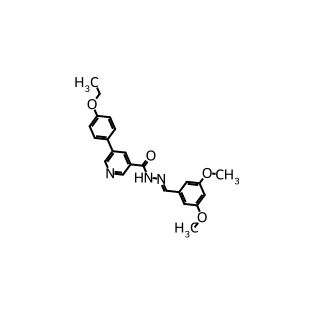 CCOc1ccc(-c2cncc(C(=O)N/N=C/c3cc(OC)cc(OC)c3)c2)cc1